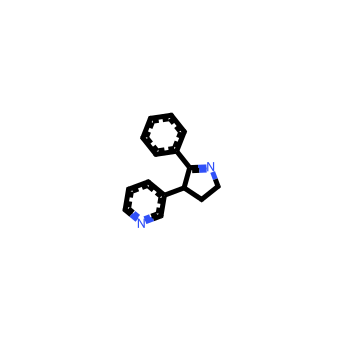 c1ccc(C2=NCCC2c2cccnc2)cc1